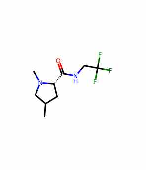 CC1C[C@@H](C(=O)NCC(F)(F)F)N(C)C1